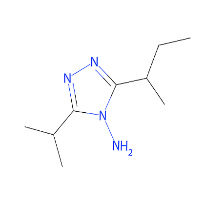 CCC(C)c1nnc(C(C)C)n1N